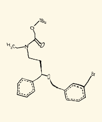 CN(CC[C@@H](OCc1cccc(Br)c1)c1ccccc1)C(=O)OC(C)(C)C